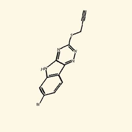 C#CCSc1nnc2c(n1)[nH]c1cc(Br)ccc12